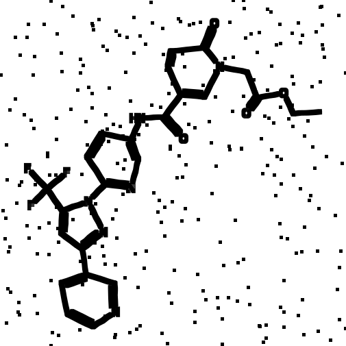 CCOC(=O)Cn1cc(C(=O)Nc2ccc(-n3nc(-c4cccnc4)cc3C(F)(F)F)nc2)ccc1=O